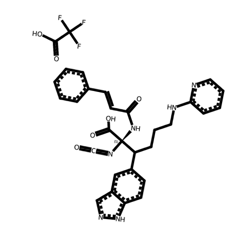 O=C(O)C(F)(F)F.O=C=N[C@](NC(=O)C=Cc1ccccc1)(C(=O)O)C(CCCNc1ccccn1)c1ccc2[nH]ncc2c1